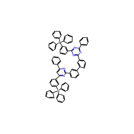 c1ccc(-c2cc(-c3cccc([Si](c4ccccc4)(c4ccccc4)c4ccccc4)c3)nc(-c3cccc(-c4cccc(-c5nc(-c6ccccc6)nc(-c6cccc([Si](c7ccccc7)(c7ccccc7)c7ccccc7)c6)n5)c4)c3)n2)cc1